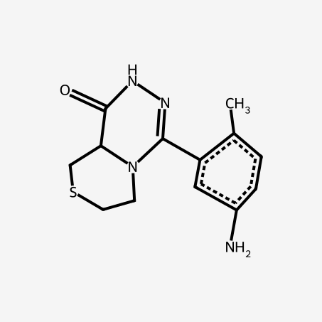 Cc1ccc(N)cc1C1=NNC(=O)C2CSCCN12